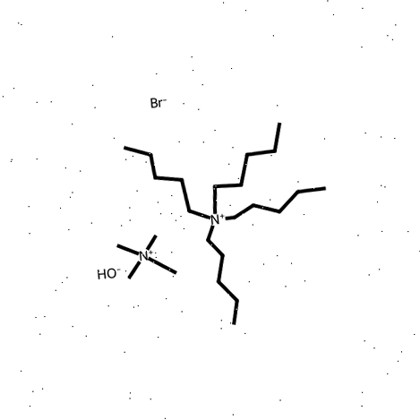 CCCCC[N+](CCCCC)(CCCCC)CCCCC.C[N+](C)(C)C.[Br-].[OH-]